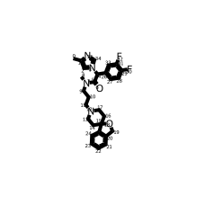 Cc1cn(C(C(=O)N(C)CCCN2CCC3(CC2)OCc2ccccc23)c2ccc(F)c(F)c2)cn1